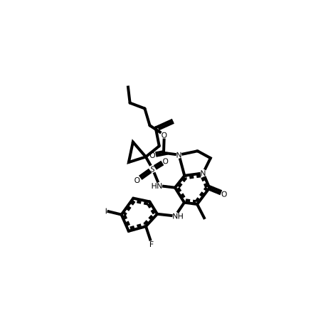 C=CCC1(S(=O)(=O)Nc2c(Nc3ccc(I)cc3F)c(C)c(=O)n3c2N(C(=O)OCCCC)CC3)CC1